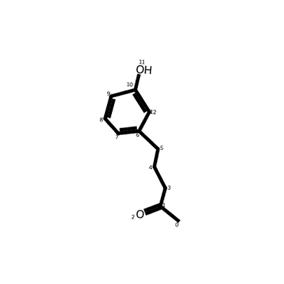 CC(=O)CCCc1cccc(O)c1